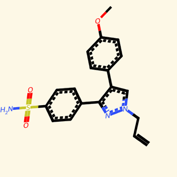 C=CCn1cc(-c2ccc(OC)cc2)c(-c2ccc(S(N)(=O)=O)cc2)n1